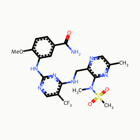 COc1ccc(C(N)=O)cc1Nc1ncc(C(F)(F)F)c(NCc2ncc(C)nc2N(C)S(C)(=O)=O)n1